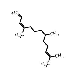 [CH]=CC=C(C)CCCC(C)CCC=C(C)C